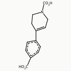 O=C(O)c1ccc(C2=CCN(C(=O)O)CC2)cc1